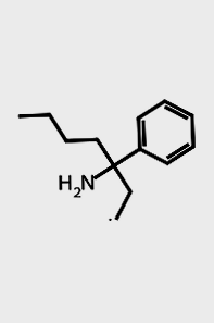 [CH2]CC(N)(CCCC)c1ccccc1